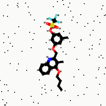 CCCCOc1c(C)c(COc2cc(C)cc(OS(=O)(=O)C(F)(F)F)c2)nc2ccccc12